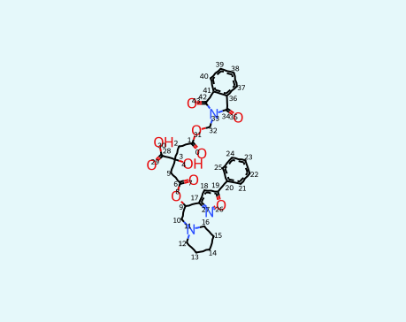 O=C(CC(O)(CC(=O)OC(CN1CCCCC1)c1cc(-c2ccccc2)on1)C(=O)O)OCN1C(=O)c2ccccc2C1=O